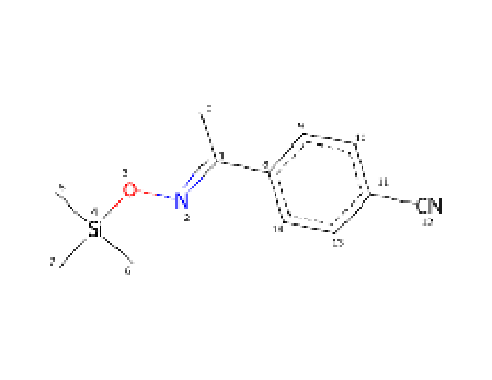 CC(=NO[Si](C)(C)C)c1ccc(C#N)cc1